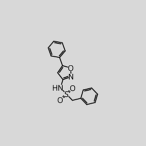 O=S(=O)(Cc1ccccc1)Nc1cc(-c2ccccc2)on1